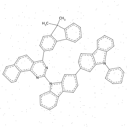 CC1(C)c2ccccc2-c2cc(-c3nc(-n4c5ccccc5c5ccc(-c6ccc7c8ccccc8n(-c8ccccc8)c7c6)cc54)nc4c3ccc3ccccc34)ccc21